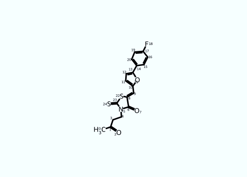 CC(=O)CCN1C(=O)/C(=C/c2ccc(-c3ccc(F)cc3)o2)SC1=S